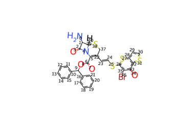 N[C@@H]1C(=O)N2C(C(=O)OC(c3ccccc3)c3ccccc3)=C(C=CSc3sc4ccsc4c(=O)c3Br)CS[C@@H]12